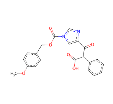 COc1ccc(COC(=O)n2cnc(C(=O)C(C(=O)O)c3ccccc3)c2)cc1